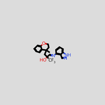 CC1(CC(O)(/C=N/c2cccc3[nH]ncc23)C(F)(F)F)CCOc2ccccc21